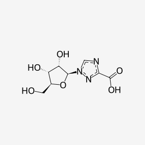 O=C(O)c1ncn([C@H]2O[C@@H](CO)[C@H](O)[C@@H]2O)n1